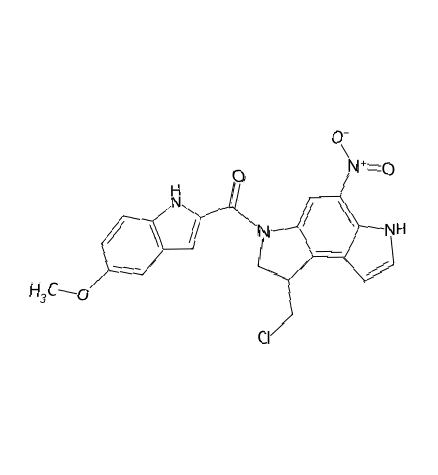 COc1ccc2[nH]c(C(=O)N3CC(CCl)c4c3cc([N+](=O)[O-])c3[nH]ccc43)cc2c1